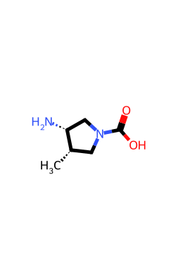 C[C@H]1CN(C(=O)O)C[C@H]1N